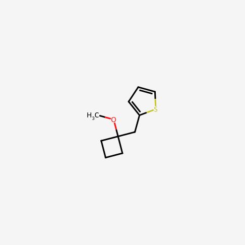 COC1(Cc2cccs2)CCC1